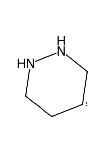 [C]1CCNNC1